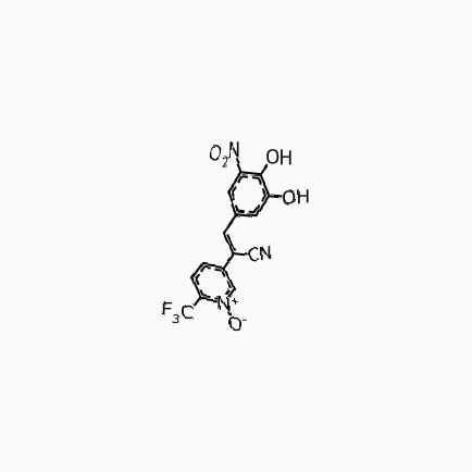 N#C/C(=C\c1cc(O)c(O)c([N+](=O)[O-])c1)c1ccc(C(F)(F)F)[n+]([O-])c1